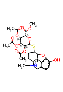 COC(=O)[C@H]1OC(SC2C=CC3C4Cc5ccc(O)c6c5C3(CCN4C)C2O6)[C@H](OC(C)=O)[C@@H](OC(C)=O)[C@@H]1OC(C)=O